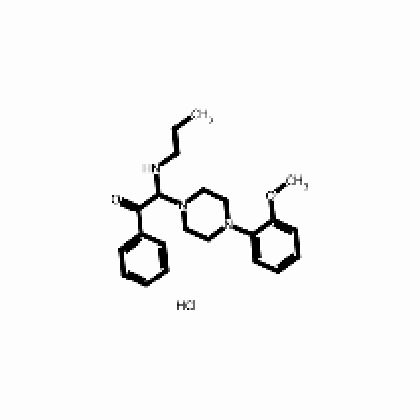 CCCNC(C(=O)c1ccccc1)N1CCN(c2ccccc2OC)CC1.Cl